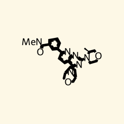 CNC(=O)c1cccc(-c2ccc3c(N4C5CCC4COC5)nc(N4CCOC[C@@H]4C)nc3n2)c1